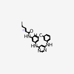 Cc1cccc(Nc2cc(Nc3cccc(NC(=O)/C=C/CI)c3)ncn2)c1